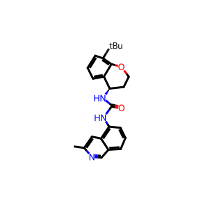 Cc1cc2c(NC(=O)N[C@@H]3CCOc4c3cccc4C(C)(C)C)cccc2cn1